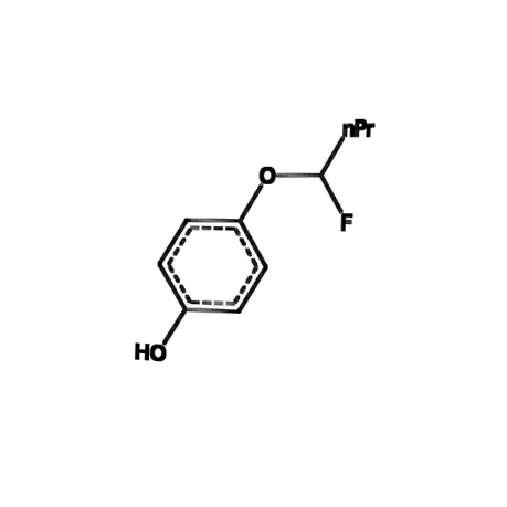 CCCC(F)Oc1ccc(O)cc1